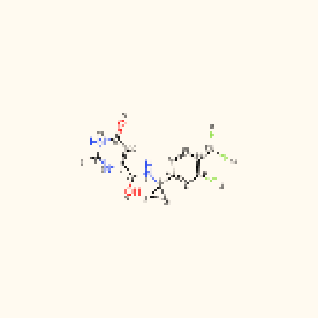 Cc1nc(C(O)NC2(c3ccc(C(F)F)c(F)c3)CC2)cc(=O)[nH]1